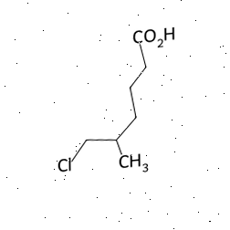 CC(CCl)CCCC(=O)O